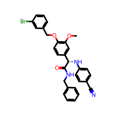 COc1cc([C@H](Nc2ccc(C#N)cc2)C(=O)NCc2ccccc2)ccc1OCc1cccc(Br)c1